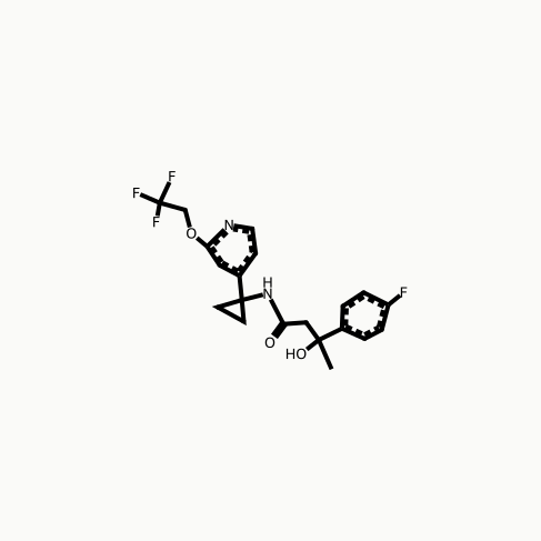 CC(O)(CC(=O)NC1(c2ccnc(OCC(F)(F)F)c2)CC1)c1ccc(F)cc1